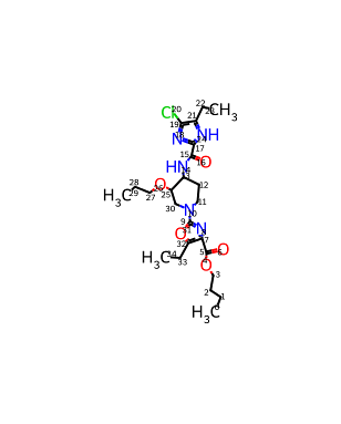 CCCCOC(=O)c1nc(N2CCC(NC(=O)c3nc(Cl)c(CC)[nH]3)C(OCCC)C2)oc1CC